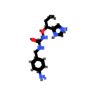 CCC(ONC(=O)NCc1ccc(N)cc1)c1c[nH]cn1